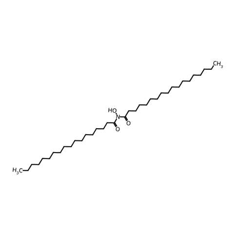 CCCCCCCCCCCCCCCCCC(=O)N(O)C(=O)CCCCCCCCCCCCCCCCC